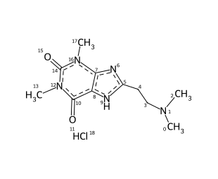 CN(C)CCc1nc2c([nH]1)c(=O)n(C)c(=O)n2C.Cl